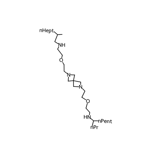 CCCCCCCC(C)CNCCOCCN1CC2(C1)CN(CCOCCNC(CCC)CCCCC)C2